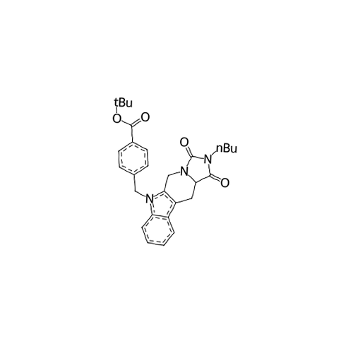 CCCCN1C(=O)C2Cc3c(n(Cc4ccc(C(=O)OC(C)(C)C)cc4)c4ccccc34)CN2C1=O